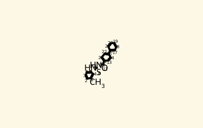 Cc1cccc(NC(=S)NC(=O)c2ccc(-c3ccccc3)cc2)c1